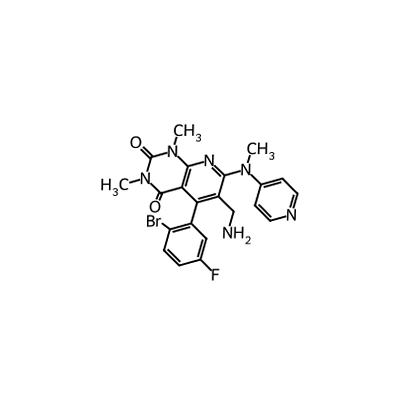 CN(c1ccncc1)c1nc2c(c(-c3cc(F)ccc3Br)c1CN)c(=O)n(C)c(=O)n2C